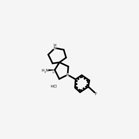 Cl.N[C@@H]1CN(c2ccc(F)cc2)CC12CCNCC2